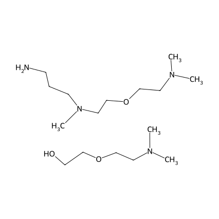 CN(C)CCOCCN(C)CCCN.CN(C)CCOCCO